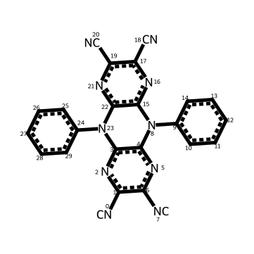 [C-]#[N+]c1nc2c(nc1[N+]#[C-])N(c1ccccc1)c1nc(C#N)c(C#N)nc1N2c1ccccc1